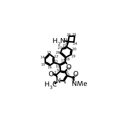 CNC(=O)c1cn(C)c(=O)c2c(-c3ccccc3)c(-c3ccc(C4(N)CCC4)cc3)oc12